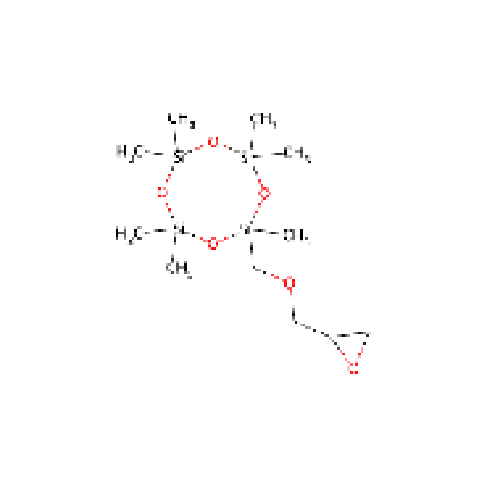 C[Si]1(C)O[Si](C)(C)O[Si](C)(COCC2CO2)O[Si](C)(C)O1